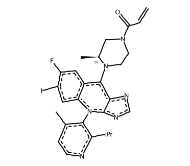 C=CC(=O)N1CCN(c2c3ncnc-3n(-c3c(C)ccnc3C(C)C)c3cc(I)c(F)cc23)[C@@H](C)C1